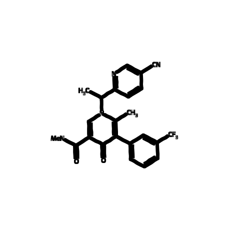 CNC(=O)c1cn(C(C)c2ccc(C#N)cn2)c(C)c(-c2cccc(C(F)(F)F)c2)c1=O